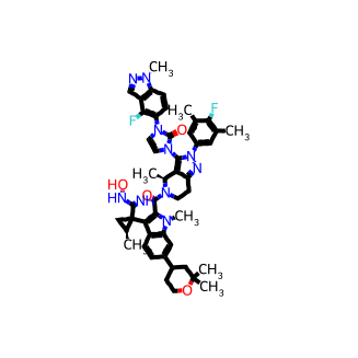 Cc1cc(-n2nc3c(c2-n2ccn(-c4ccc5c(cnn5C)c4F)c2=O)[C@H](C)N(C(=O)c2c(C4(C(=N)NO)C[C@@H]4C)c4ccc(C5CCOC(C)(C)C5)cc4n2C)CC3)cc(C)c1F